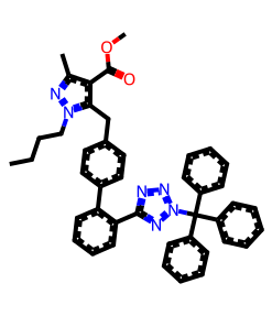 CCCCn1nc(C)c(C(=O)OC)c1Cc1ccc(-c2ccccc2-c2nnn(C(c3ccccc3)(c3ccccc3)c3ccccc3)n2)cc1